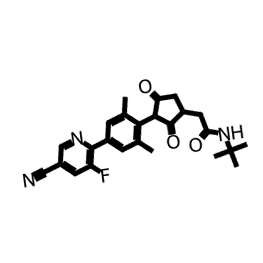 Cc1cc(-c2ncc(C#N)cc2F)cc(C)c1C1C(=O)CC(CC(=O)NC(C)(C)C)C1=O